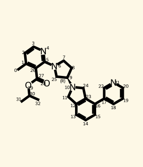 Cc1ccnc(N2CC[C@@H](N3Cc4cccc(-c5cccnc5)c4C3)C2)c1C(=O)OC(C)C